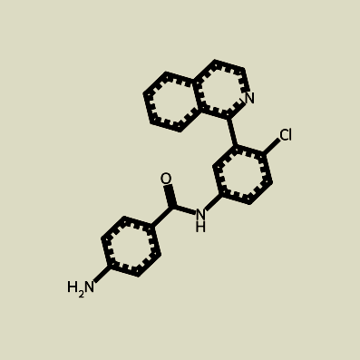 Nc1ccc(C(=O)Nc2ccc(Cl)c(-c3nccc4ccccc34)c2)cc1